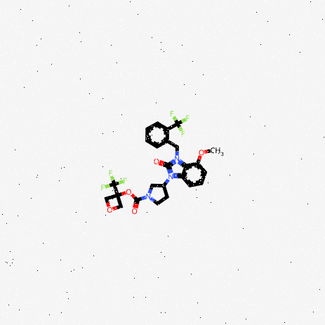 COc1cccc2c1n(Cc1ccccc1C(F)(F)F)c(=O)n2C1CCN(C(=O)OC2(C(F)(F)F)COC2)C1